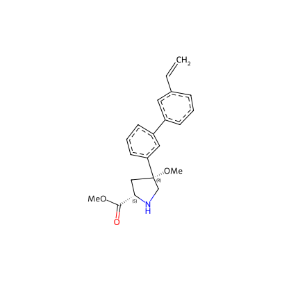 C=Cc1cccc(-c2cccc([C@@]3(OC)CN[C@H](C(=O)OC)C3)c2)c1